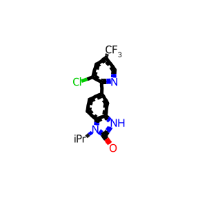 CC(C)n1c(=O)[nH]c2cc(-c3ncc(C(F)(F)F)cc3Cl)ccc21